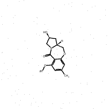 Cc1cc2c(c(OC(C)C)c1)C(=O)N1C[C@@H](O)C[C@@H]1CO2